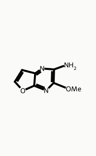 COc1nc2occc2nc1N